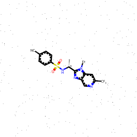 CCn1c([C@@H](C)NS(=O)(=O)c2ccc(C#N)cc2)nc2cnc(C(F)(F)F)cc21